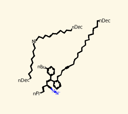 CCCC=CC(=C=[N+]=[N-])C=C(c1cccc(CCCC)c1)c1ccccc1CCCC#CCCCCCCCCCCCCCCCCCCCCCCCC.CCCCCCCCCCCCCCCCCCC[CH2][Ni][CH2]CCCCCCCCCCCCCCCCCCC